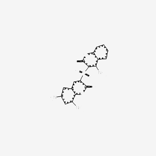 O=c1oc2c([N+](=O)[O-])cc([N+](=O)[O-])cc2cc1S(=O)(=O)c1c([N+](=O)[O-])c2ccccc2oc1=O